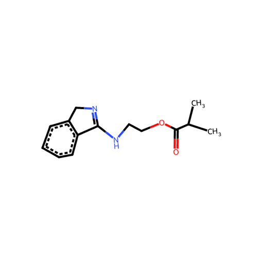 CC(C)C(=O)OCCNC1=NCc2ccccc21